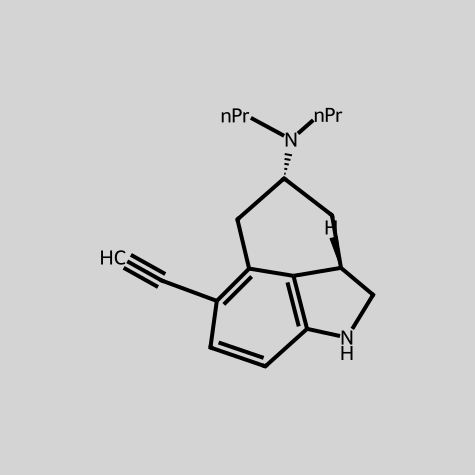 C#Cc1ccc2c3c1C[C@H](N(CCC)CCC)C[C@@H]3CN2